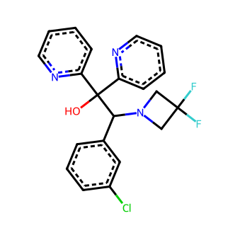 OC(c1ccccn1)(c1ccccn1)C(c1cccc(Cl)c1)N1CC(F)(F)C1